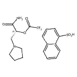 NC(=O)[C@@H](CN1CCCC1)OC(=O)C(F)(F)F.O=S(=O)(O)c1cccc2ccccc12